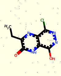 CCc1nc2c(Cl)nnc(O)c2[nH]c1=O